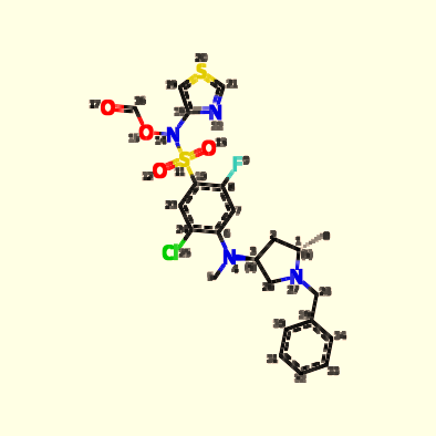 C[C@H]1C[C@H](N(C)c2cc(F)c(S(=O)(=O)N(OC=O)c3cscn3)cc2Cl)CN1Cc1ccccc1